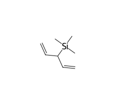 C=CC(C=C)[Si](C)(C)C